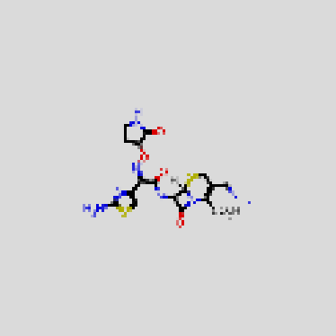 NCC1=C(C(=O)O)N2C(=O)C(NC(=O)/C(=N\OC3CCNC3=O)c3csc(N)n3)[C@H]2SC1